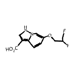 O=C(O)C1=C2C=CC(OCC(F)F)=CN2NC1